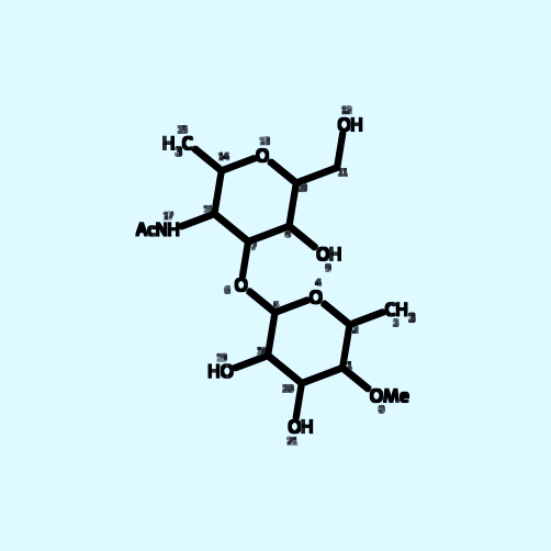 COC1C(C)OC(OC2C(O)C(CO)OC(C)C2NC(C)=O)C(O)C1O